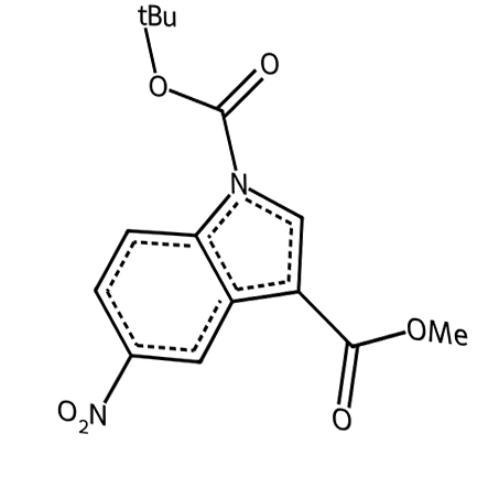 COC(=O)c1cn(C(=O)OC(C)(C)C)c2ccc([N+](=O)[O-])cc12